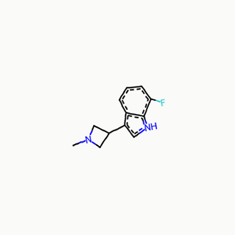 CN1CC(c2c[nH]c3c(F)cccc23)C1